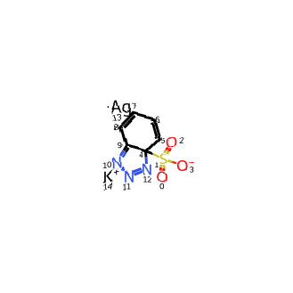 O=S(=O)([O-])C12C=CC=CC1=NN=N2.[Ag].[K+]